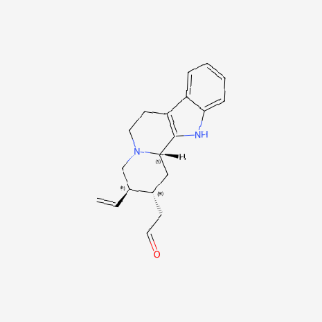 C=C[C@H]1CN2CCc3c([nH]c4ccccc34)[C@@H]2C[C@@H]1CC=O